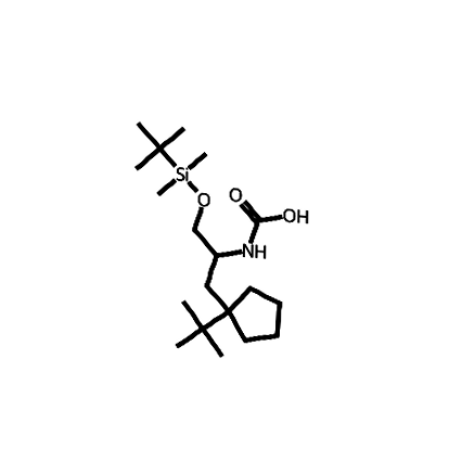 CC(C)(C)C1(CC(CO[Si](C)(C)C(C)(C)C)NC(=O)O)CCCC1